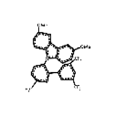 COc1ccc2c(c1)c1cc(OC)ccc1n2-c1ccc(C(F)(F)F)cc1-c1cc(C(F)(F)F)cc(C(F)(F)F)c1